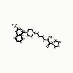 NC(CCCCN1CCN(c2nc(C(F)(F)F)nc3ccccc23)CC1)C(=O)N1CCSC1